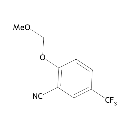 COCOc1ccc(C(F)(F)F)cc1C#N